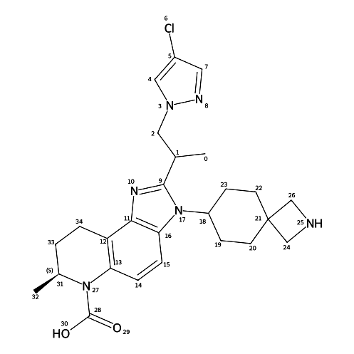 CC(Cn1cc(Cl)cn1)c1nc2c3c(ccc2n1C1CCC2(CC1)CNC2)N(C(=O)O)[C@@H](C)CC3